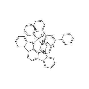 O=P(c1ccccc1)(c1ccccc1)n1c2ccccc2c2ccc3c4ccccc4n(-c4nc(-c5ccccc5)cc(-c5ccccc5)n4)c3c21